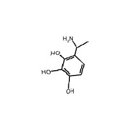 CC(N)c1ccc(O)c(O)c1O